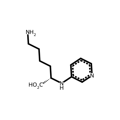 NCCCC[C@H](Nc1cccnc1)C(=O)O